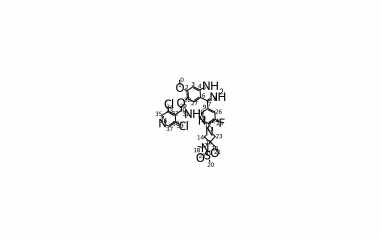 COc1cc(N)c(C(=N)c2cnc(N3CC(C)(N(C)S(C)(=O)=O)C3)c(F)c2)cc1O[C@H](N)c1c(Cl)cncc1Cl